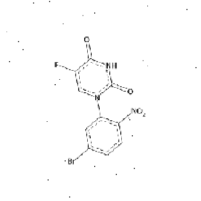 O=c1[nH]c(=O)n(-c2cc(Br)ccc2[N+](=O)[O-])cc1F